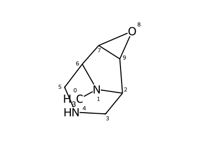 CN1C2CNCC1C1OC12